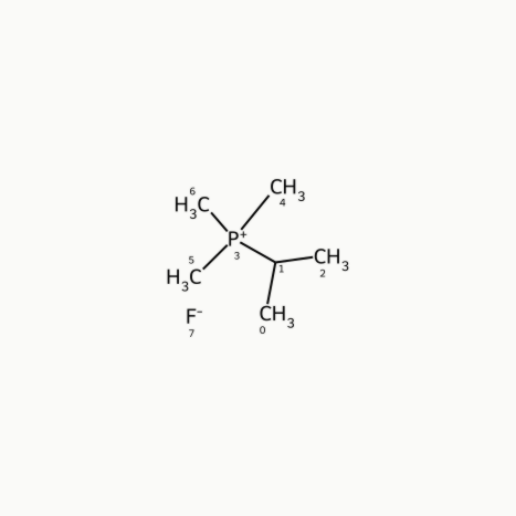 CC(C)[P+](C)(C)C.[F-]